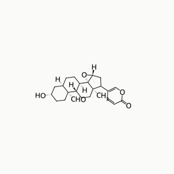 C[C@]12CC[C@H]3[C@@H](CC[C@@H]4C[C@@H](O)CC[C@@]43C=O)[C@]13O[C@@H]3CC2c1ccc(=O)oc1